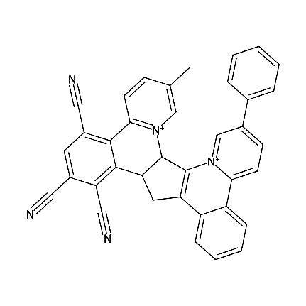 Cc1ccc2[n+](c1)C1c3c(c4ccccc4c4ccc(-c5ccccc5)c[n+]34)CC1c1c(C#N)c(C#N)cc(C#N)c1-2